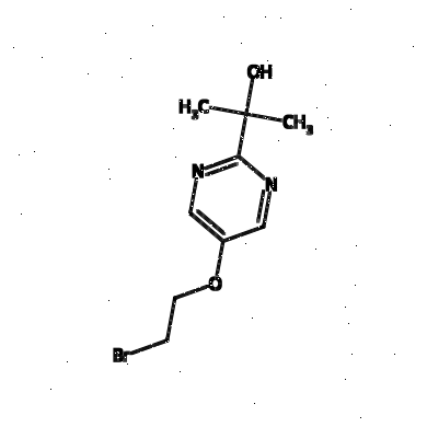 CC(C)(O)c1ncc(OCCBr)cn1